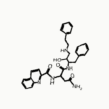 NC(=O)CC(NC(=O)c1ccc2ccccc2n1)C(=O)NC(Cc1ccccc1)C(O)CNCCc1ccccc1